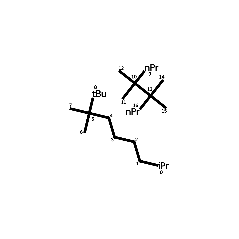 CC(C)CCCCC(C)(C)C(C)(C)C.CCCC(C)(C)C(C)(C)CCC